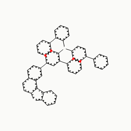 c1ccc(-c2ccc(N(c3ccccc3-c3ccccc3)c3ccc(-c4ccc5ccc6oc7ccccc7c6c5c4)cc3-c3ccccc3)cc2)cc1